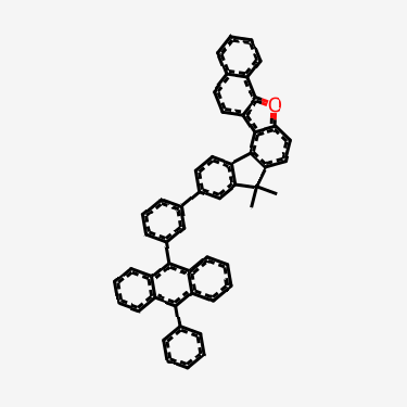 CC1(C)c2cc(-c3cccc(-c4c5ccccc5c(-c5ccccc5)c5ccccc45)c3)ccc2-c2c1ccc1oc3c4ccccc4ccc3c21